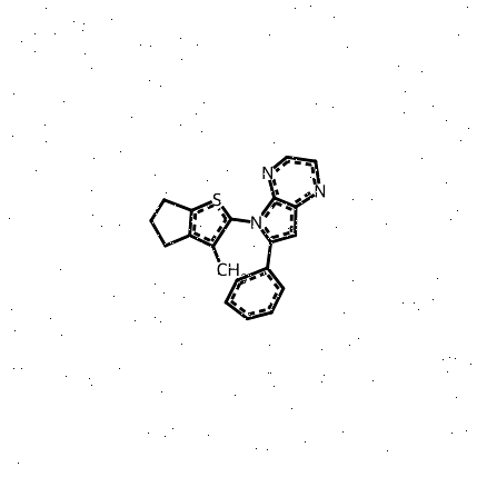 Cc1c(-n2c(-c3ccccc3)cc3nccnc32)sc2c1CCC2